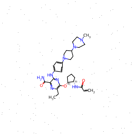 C=CC(=O)N[C@H]1CCC[C@H]1Oc1nc(Nc2ccc(N3CCC(N4CCN(C)CC4)CC3)cc2)c(C(N)=O)nc1CC